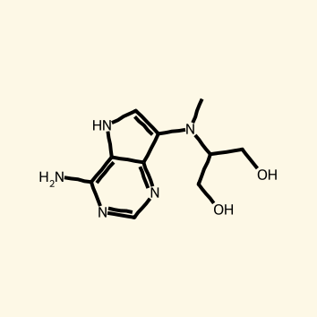 CN(c1c[nH]c2c(N)ncnc12)C(CO)CO